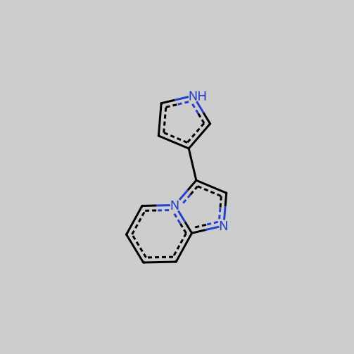 c1ccn2c(-c3cc[nH]c3)cnc2c1